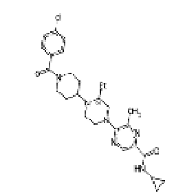 CC[C@H]1CN(c2ncc(C(=O)NC3CC3)nc2C)CCN1C1CCN(C(=O)c2ccc(Cl)cc2)CC1